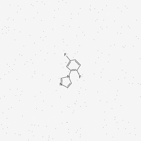 Fc1ccc(F)c(-n2ccnc2)c1